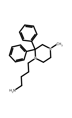 CN1CCN(CCCCN)C(c2ccccc2)(c2ccccc2)C1